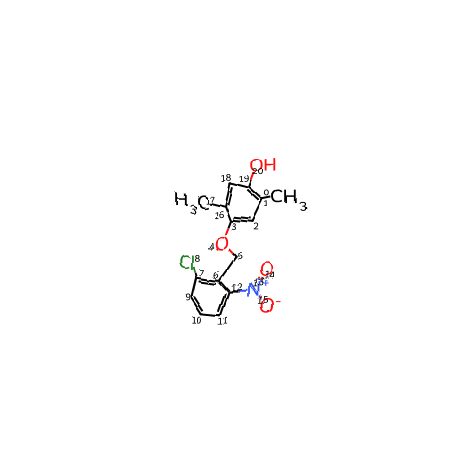 Cc1cc(OCc2c(Cl)cccc2[N+](=O)[O-])c(C)cc1O